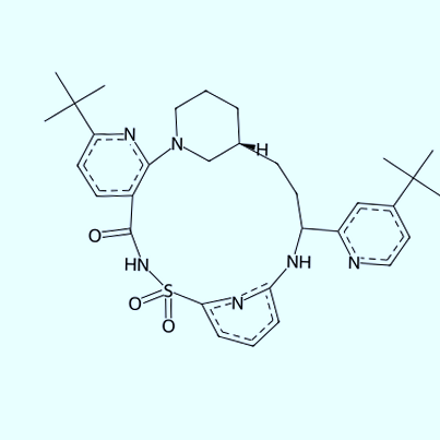 CC(C)(C)c1ccnc(C2CC[C@H]3CCCN(C3)c3nc(C(C)(C)C)ccc3C(=O)NS(=O)(=O)c3cccc(n3)N2)c1